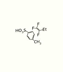 CCC(F)=C(F)F.Cc1ccc(S(=O)(=O)O)cc1